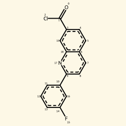 O=C(Cl)c1ccc2ccc(-c3cccc(F)c3)nc2c1